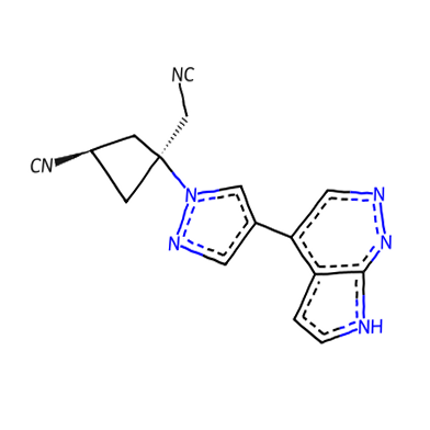 [C-]#[N+]C[C@]1(n2cc(-c3cnnc4[nH]ccc34)cn2)C[C@@H]([N+]#[C-])C1